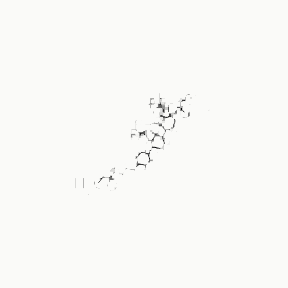 C=CC(=O)OCCCc1ccc(-c2ccc3c(oc4c(OC(F)(F)F)c(OC(=O)C=C)ccc43)c2OC(F)(F)F)cc1